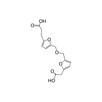 O=C(O)CCc1ccc(COCc2ccc(CC(=O)O)o2)o1